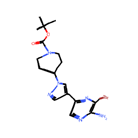 CC(C)(C)OC(=O)N1CCC(n2cc(-c3cnc(N)c(Br)n3)cn2)CC1